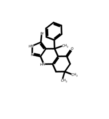 CC1(C)CC(=O)C2=C(C1)Nc1n[nH]c(Br)c1C2(C)c1ccccc1